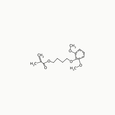 C=C(C)C(=O)OCCCCOc1c(OC)cccc1OC